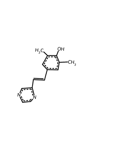 Cc1cc(C=Cc2cnccn2)cc(C)c1O